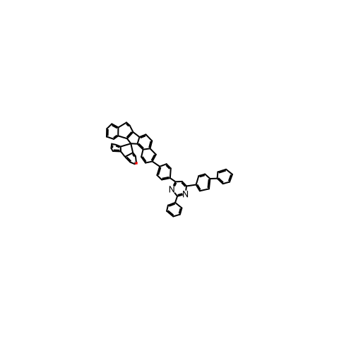 c1ccc(-c2ccc(-c3cc(-c4ccc(-c5ccc6c7c(ccc6c5)-c5ccc6ccccc6c5C75c6ccccc6-c6ccccc65)cc4)nc(-c4ccccc4)n3)cc2)cc1